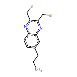 BCCc1ccc2nc(CBr)c(CBr)nc2c1